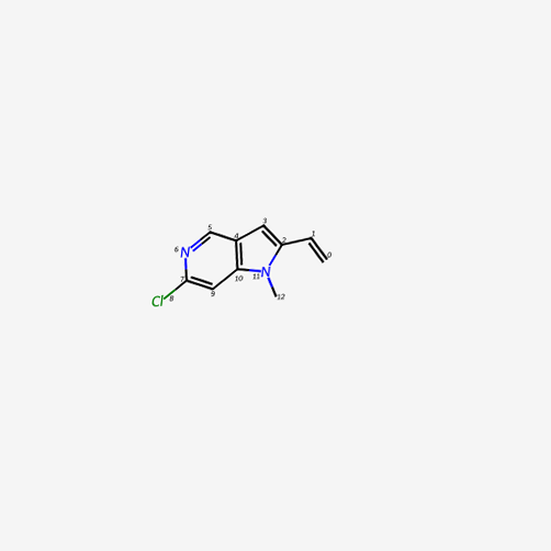 C=Cc1cc2cnc(Cl)cc2n1C